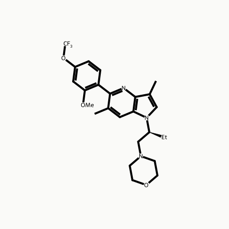 CC[C@@H](CN1CCOCC1)n1cc(C)c2nc(-c3ccc(OC(F)(F)F)cc3OC)c(C)cc21